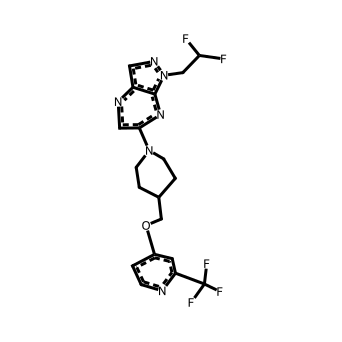 FC(F)Cn1ncc2ncc(N3CCC(COc4ccnc(C(F)(F)F)c4)CC3)nc21